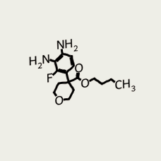 CCCCOC(=O)C1(c2ccc(N)c(N)c2F)CCOCC1